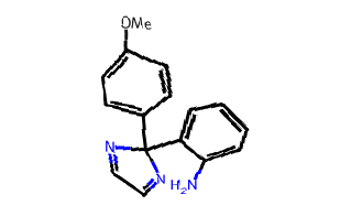 COc1ccc(C2(c3ccccc3N)N=CC=N2)cc1